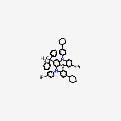 CC(C)c1ccc(N2c3ccc(C4CCCCC4)cc3B3c4cc(C(C)C)ccc4N(c4ccc(C5CCCCC5)cc4)c4cc(C(C)(c5ccccc5)c5ccccc5)cc2c43)cc1